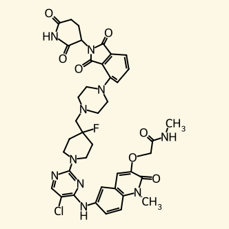 CNC(=O)COc1cc2cc(Nc3nc(N4CCC(F)(CN5CCN(c6cccc7c6C(=O)N(C6CCC(=O)NC6=O)C7=O)CC5)CC4)ncc3Cl)ccc2n(C)c1=O